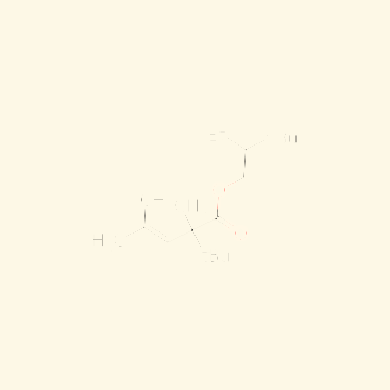 CCCCC(CC)COC(=O)C(C)(C=C(C)C)C(C)(C)C